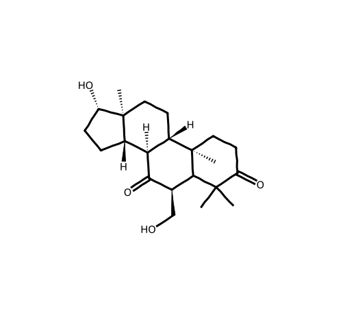 CC1(C)C(=O)CC[C@@]2(C)C1[C@@H](CO)C(=O)[C@H]1[C@@H]3CC[C@H](O)[C@@]3(C)CC[C@@H]12